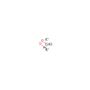 CC(=O)[O-].O=C[O-].[K+].[K+]